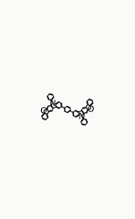 c1ccc(-n2c3ccc(-c4ccc(-c5ccc6c(c5)c5cc7c(cc5n6-c5ccccc5)oc5ccccc57)cc4)cc3c3cc4c(cc32)oc2ccccc24)cc1